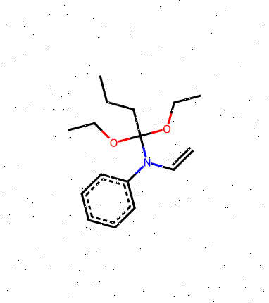 C=CN(c1ccccc1)C(CCC)(OCC)OCC